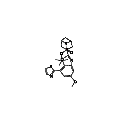 COc1cc(-c2nccs2)c2oc(N3CC4CC(C3)N4C(=O)OC(C)(C)C)nc2c1